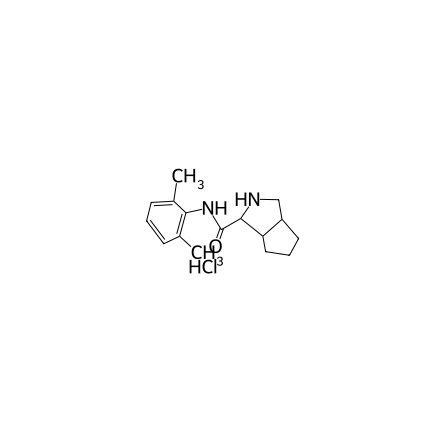 Cc1cccc(C)c1NC(=O)C1NCC2CCCC21.Cl